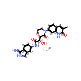 Cc1cc2ccc(N3CCO[C@H]([C@@H](O)C(=O)Nc4ccc5c(c4)CNC5=N)C3=O)cc2[nH]c1=O.Cl